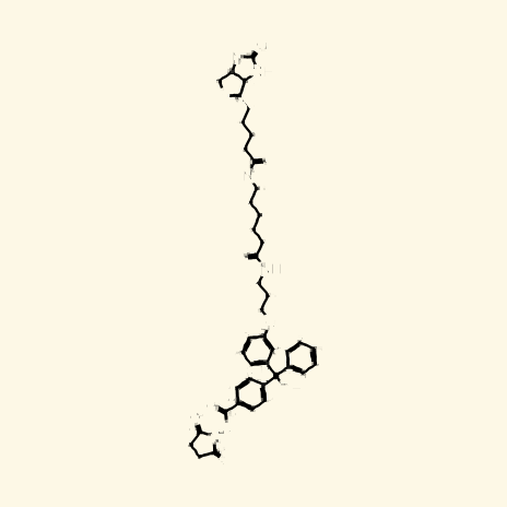 O=C(CCCC[C@H]1SCC2NC(=O)NC21)NCCCCCC(=O)NCCCOc1cccc(C(O)(c2ccccc2)c2ccc(C(=O)ON3C(=O)CCC3=O)cc2)c1